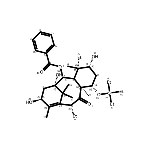 CC[C@H]1C(=O)[C@@]2(C)C([C@H](OC(=O)c3ccccc3)[C@]3(O)C[C@H](O)C(C)=C1C3(C)C)[C@](C)(CC)[C@H](O)C[C@@H]2O[Si](CC)(CC)CC